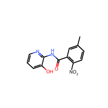 Cc1ccc([N+](=O)[O-])c(C(=O)Nc2ncccc2O)c1